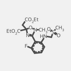 CCOC(=O)CC1(C(=O)OCC)N=C(c2c(F)cccc2NCS(C)(=O)=O)N(C)O1